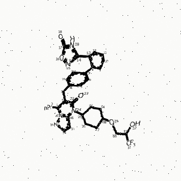 CCCc1c(Cc2ccc(-c3ccccc3-c3noc(=O)[nH]3)cc2)c(=O)n(C2CCC(OCC(O)C(F)(F)F)CC2)c2ccnn12